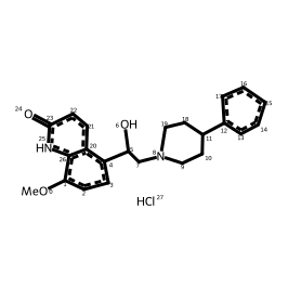 COc1ccc(C(O)CN2CCC(c3ccccc3)CC2)c2ccc(=O)[nH]c12.Cl